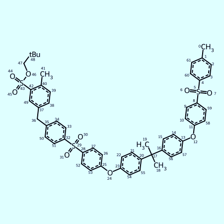 Cc1ccc(S(=O)(=O)c2ccc(Oc3ccc(C(C)(C)c4ccc(Oc5ccc(S(=O)(=O)c6ccc(Cc7ccc(C)c(S(=O)(=O)OCC(C)(C)C)c7)cc6)cc5)cc4)cc3)cc2)cc1